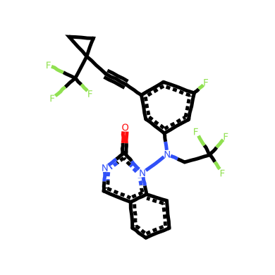 O=c1ncc2ccccc2n1N(CC(F)(F)F)c1cc(F)cc(C#CC2(C(F)(F)F)CC2)c1